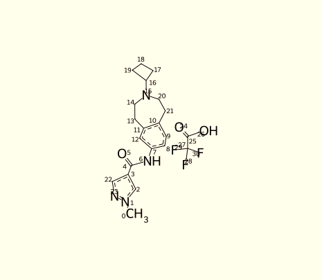 Cn1cc(C(=O)Nc2ccc3c(c2)CCN(C2CCC2)CC3)cn1.O=C(O)C(F)(F)F